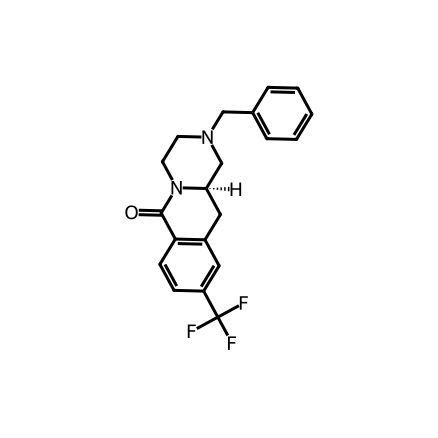 O=C1c2ccc(C(F)(F)F)cc2C[C@@H]2CN(Cc3ccccc3)CCN12